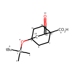 CC(C)(C)[Si](C)(C)OC12CCC(C(=O)O)(CC1)C(=O)C2